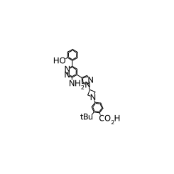 CC(C)(C)c1cc(N2CC(n3cc(-c4cc(-c5ccccc5O)nnc4N)cn3)C2)ccc1C(=O)O